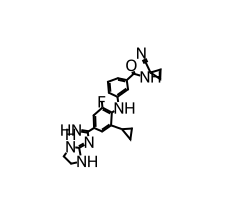 N#CC1(NC(=O)c2cccc(Nc3c(F)cc(C(=N)N=C4NCCN4)cc3C3CC3)c2)CC1